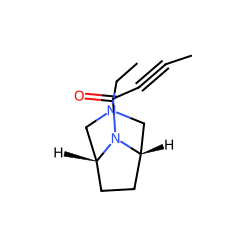 CC#CC(=O)N1[C@@H]2CC[C@H]1CN(CC)C2